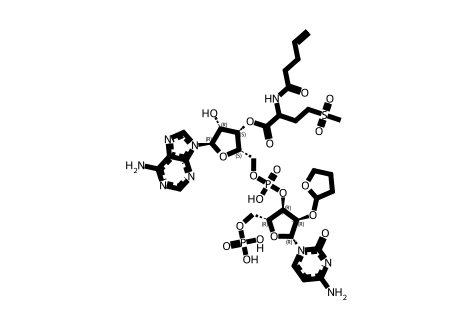 C=CCCC(=O)NC(CCS(C)(=O)=O)C(=O)O[C@H]1[C@@H](O)[C@H](n2cnc3c(N)ncnc32)O[C@H]1COP(=O)(O)O[C@H]1[C@@H](OC2CCCO2)[C@H](n2ccc(N)nc2=O)O[C@@H]1COP(=O)(O)O